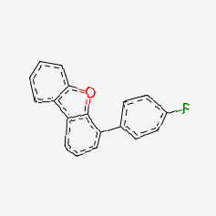 Fc1ccc(-c2cccc3c2oc2ccccc23)cc1